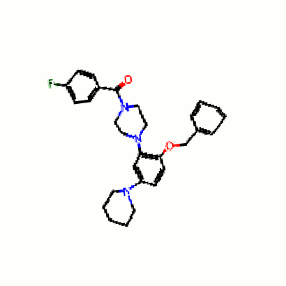 O=C(c1ccc(F)cc1)N1CCN(c2cc(N3CCCCC3)ccc2OCc2ccccc2)CC1